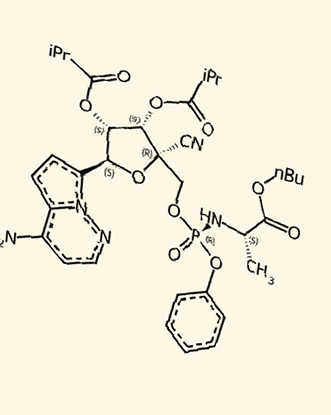 CCCCOC(=O)[C@H](C)N[P@@](=O)(OC[C@@]1(C#N)O[C@@H](c2ccc3c(N)ccnn23)[C@H](OC(=O)C(C)C)[C@@H]1OC(=O)C(C)C)Oc1ccccc1